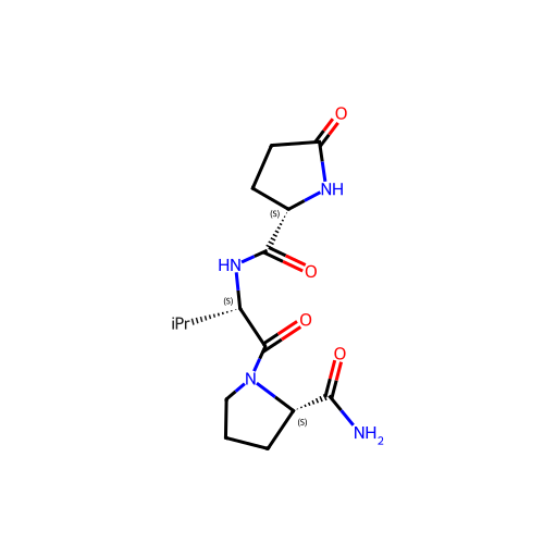 CC(C)[C@H](NC(=O)[C@@H]1CCC(=O)N1)C(=O)N1CCC[C@H]1C(N)=O